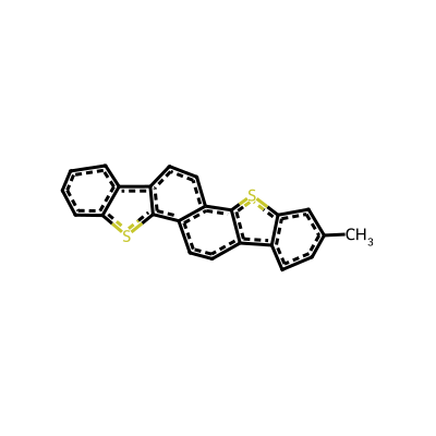 Cc1ccc2c(c1)sc1c2ccc2c1ccc1c3ccccc3sc12